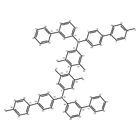 Cc1ccc(-c2ccc(N(c3cccc(-c4ccccc4)c3)c3cc(C)c(-c4c(C)cc(N(c5ccc(-c6ccc(C)cc6)cc5)c5cccc(-c6ccccc6)c5)cc4C)c(C)c3)cc2)cc1